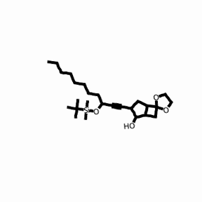 CCCCCCCCC(C#CC1CC2C(CC23OCCO3)C1O)O[Si](C)(C)C(C)(C)C